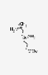 COCCC[C@@H](N)CCC(C)N